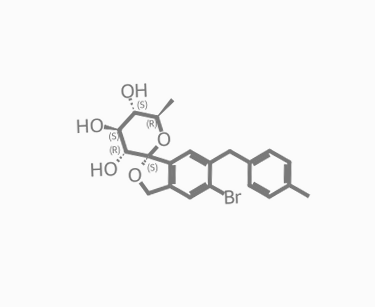 Cc1ccc(Cc2cc3c(cc2Br)CO[C@]32O[C@H](C)[C@@H](O)[C@H](O)[C@H]2O)cc1